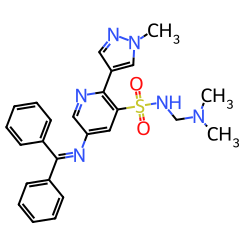 CN(C)CNS(=O)(=O)c1cc(N=C(c2ccccc2)c2ccccc2)cnc1-c1cnn(C)c1